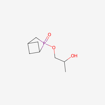 CC(O)COP1(=O)CC2CC1C2